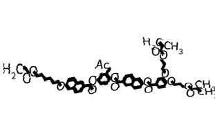 C=CC(=O)OCCCCCCOc1ccc2cc(C(=O)Oc3ccc(OC(=O)c4ccc5cc(OC(=O)c6ccc(OCCCOC(=O)C(=C)C)c(OCCCOC(=O)C(=C)C)c6)ccc5c4)c(CC(C)=O)c3)ccc2c1